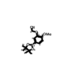 COc1ccc(B2OC(C)(C)C(C)(C)O2)cc1OCC#N